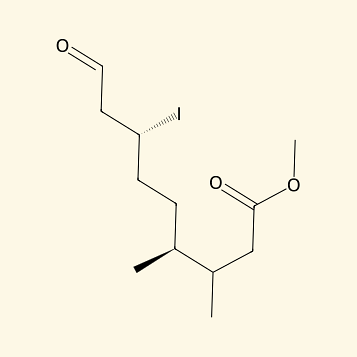 COC(=O)CC(C)[C@@H](C)CC[C@@H](I)CC=O